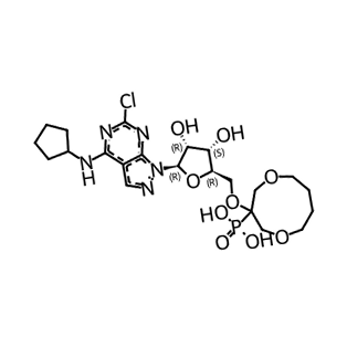 O=P(O)(O)C1(OC[C@H]2O[C@@H](n3ncc4c(NC5CCCC5)nc(Cl)nc43)[C@H](O)[C@@H]2O)COCCCCOC1